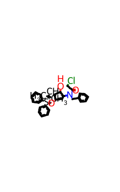 CC(C)(C)[Si](OC1CC(O)C(N(Cc2ccccc2)C(=O)CCl)C1)(c1ccccc1)c1ccccc1